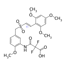 COc1cc(OC)c(/C=C/S(=O)(=O)Cc2ccc(OC)c(NC(=O)C(F)(F)C(=O)O)c2)c(OC)c1